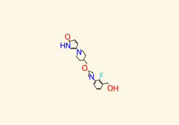 O=c1ccc(N2CCC(COC3CN(c4cccc(CO)c4F)C3)CC2)c[nH]1